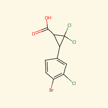 O=C(O)C1C(c2ccc(Br)c(Cl)c2)C1(Cl)Cl